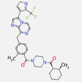 Cc1cc(Cc2nccn3c(C4=CCN=C4C(F)(F)F)cnc23)ccc1C(=O)N1CCN(C(=O)[C@@H]2CCCC[C@@H]2C)CC1